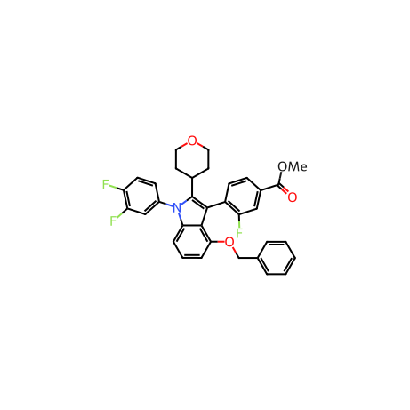 COC(=O)c1ccc(-c2c(C3CCOCC3)n(-c3ccc(F)c(F)c3)c3cccc(OCc4ccccc4)c23)c(F)c1